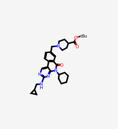 CC(C)(C)OC(=O)C1CCN(Cc2ccc3c(c2)c(=O)n(C2CCCCC2)c2nc(NCC4CC4)ncc32)CC1